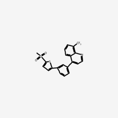 CS(=O)(=O)c1ccc(-c2cccc(-c3ccnc4c(C(F)(F)F)cccc34)c2)s1